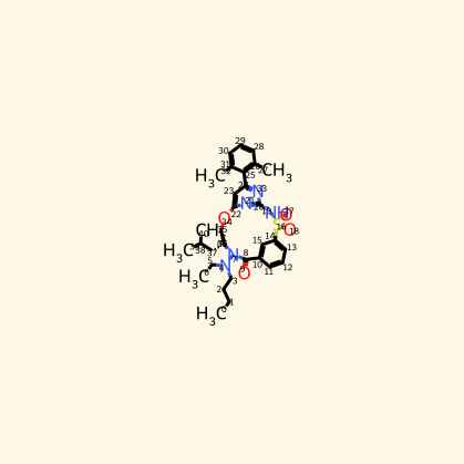 CCCCN(CC)N1C(=O)c2cccc(c2)S(=O)(=O)Nc2nc(cc(-c3c(C)cccc3C)n2)OC[C@H]1CC(C)C